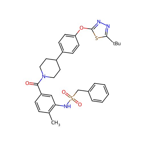 Cc1ccc(C(=O)N2CCC(c3ccc(Oc4nnc(C(C)(C)C)s4)cc3)CC2)cc1NS(=O)(=O)Cc1ccccc1